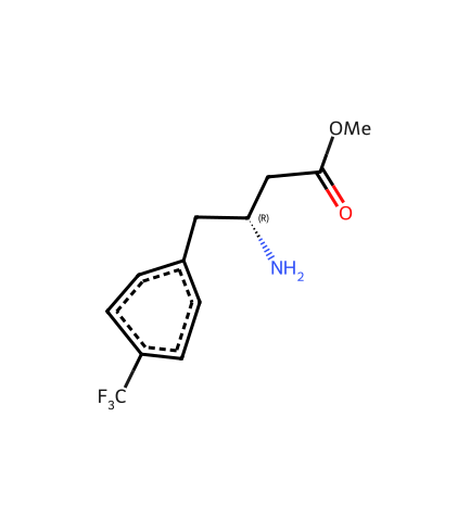 COC(=O)C[C@H](N)Cc1ccc(C(F)(F)F)cc1